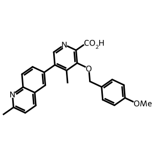 COc1ccc(COc2c(C(=O)O)ncc(-c3ccc4nc(C)ccc4c3)c2C)cc1